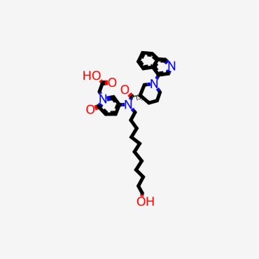 O=C(O)Cn1cc(N(CCCCCCCCCCCO)C(=O)[C@H]2CCCN(c3cncc4ccccc34)C2)ccc1=O